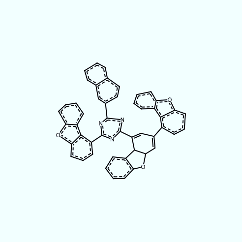 C1=C(c2cccc3oc4ccccc4c23)C=C(c2nc(-c3ccc4ccccc4c3)nc(-c3cccc4oc5ccccc5c34)n2)C2c3ccccc3OC12